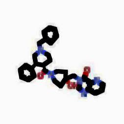 O=C([C@H]1CCN(Cc2ccccc2)C[C@@H]1c1ccccc1)N1CCC(O)(Cn2cnc3cccnc3c2=O)CC1